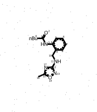 CCCCC(=O)Nc1ccccc1CNc1noc(C)n1